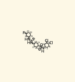 O=S(=O)(Nc1ccc(Cl)c(Cl)c1)c1ccc(NC(=S)Nc2cccc(F)c2)cc1